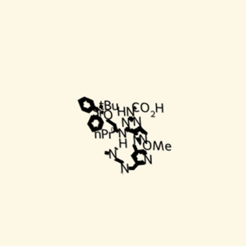 CCC[C@@H](CCO[Si](c1ccccc1)(c1ccccc1)C(C)(C)C)Nc1nc(NC(=O)O)nc2cnn(Cc3cc(CN(C)CCN(C)C)cnc3OC)c12